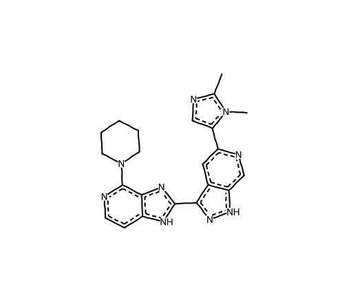 Cc1ncc(-c2cc3c(-c4nc5c(N6CCCCC6)nccc5[nH]4)n[nH]c3cn2)n1C